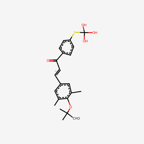 Cc1cc(/C=C/C(=O)c2ccc(SC(O)(O)O)cc2)cc(C)c1OC(C)(C)C=O